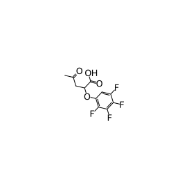 CC(=O)CC(Oc1cc(F)c(F)c(F)c1F)C(=O)O